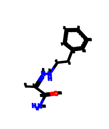 C/C(=N/NCCc1ccccc1)C(N)=O